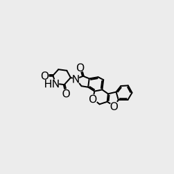 O=C1CCC(N2Cc3c(ccc4c3OCc3oc5ccccc5c3-4)C2=O)C(=O)N1